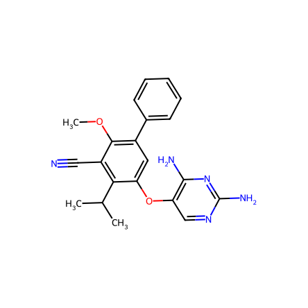 COc1c(-c2ccccc2)cc(Oc2cnc(N)nc2N)c(C(C)C)c1C#N